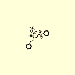 CC(C)(C)OC(=O)N[C@@H](CCc1ccccc1)CCS(=O)(=O)c1ccccc1